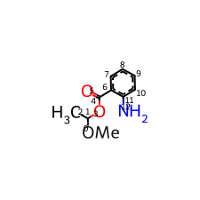 COC(C)OC(=O)c1ccccc1N